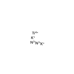 [K+].[K+].[N-3].[N-3].[Ti+4]